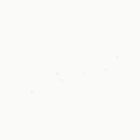 COc1ncc(NC(=O)c2cnn(-c3cccc4c(=S)[nH]ccc34)c2C(F)(F)F)cc1Cl